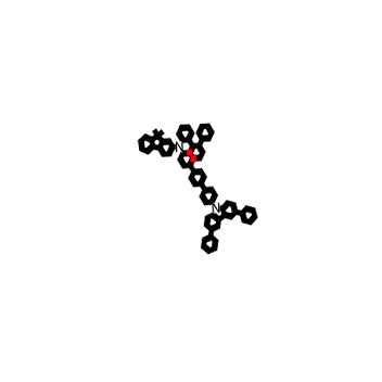 CC1(C)c2ccccc2-c2ccc(N(c3ccc(-c4ccc(-c5ccc(-n6c7ccc(-c8ccccc8)cc7c7cc(-c8ccccc8)ccc76)cc5)cc4)cc3)c3ccccc3-c3ccccc3-c3ccccc3)cc21